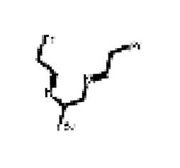 CCCCC(CN=CCC(C)C)N=CCC(C)C